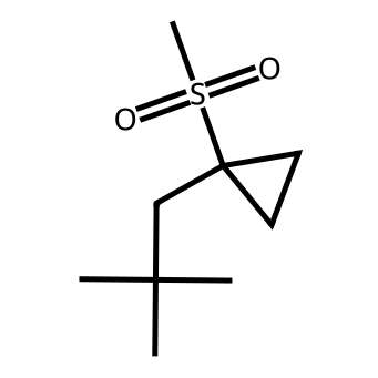 CC(C)(C)CC1(S(C)(=O)=O)CC1